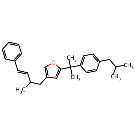 CC(C)Cc1ccc(C(C)(C)c2cc(CC(C)/C=C/c3ccccc3)co2)cc1